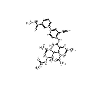 CNC(=O)c1cccc(-c2ccc(OC(O)C(OC(C)=O)C(OC(C)=O)C(OC(C)=O)C(C)COC(C)=O)c(C#N)c2)c1